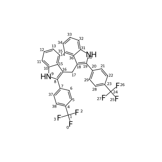 FC(F)(F)c1ccc(-c2[nH]c3ccccc3c2Cc2c(-c3ccc(C(F)(F)F)cc3)[nH]c3ccccc23)cc1